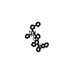 c1ccc(-c2cccc(-c3nc(-c4ccccc4)nc(-c4cccc5c4oc4c6ccccc6c(-n6c7ccccc7c7cc8ccccc8cc76)cc54)n3)c2)cc1